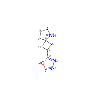 c1nnc(C2CC3(CCCN3)C2)o1